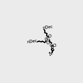 CCCCCCCCCCCCCCCC(=O)OCC(COC(=O)N1CC(CN(C)C)C1)OC(=O)CCCCCCCCCCCCCCC